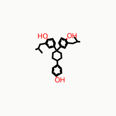 CC(C)Cc1cc(C2(c3ccc(O)c(CC(C)C)c3)CCC(c3ccc(O)cc3)CC2)ccc1O